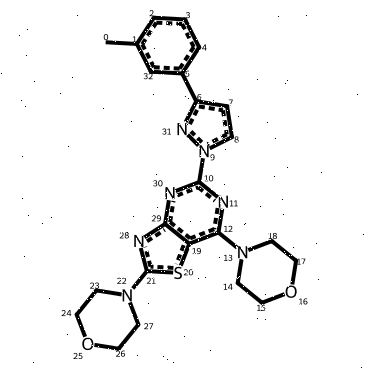 Cc1cccc(-c2ccn(-c3nc(N4CCOCC4)c4sc(N5CCOCC5)nc4n3)n2)c1